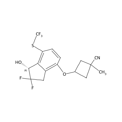 CC1(C#N)CC(Oc2ccc(SC(F)(F)F)c3c2CC(F)(F)[C@@H]3O)C1